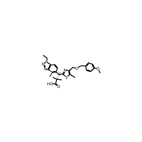 CCn1nnc2c(C)c([C@H](c3nc(COCc4ccc(OC)cc4)c(C)s3)C(C)(C)C(=O)O)ccc21